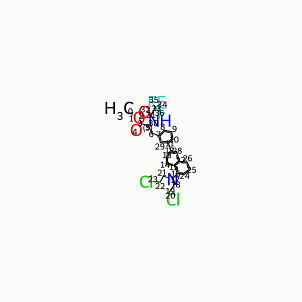 CCOC(=O)[C@H](Cc1cccc(-c2ccc3c(N(CCCl)CCCl)cccc3c2)c1)NC(=O)C(F)(F)F